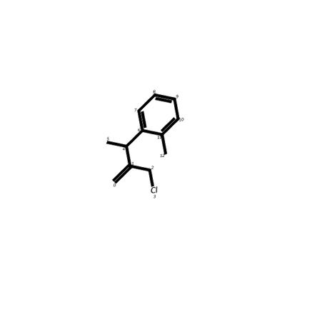 C=C(CCl)C(C)c1ccccc1C